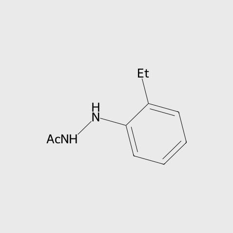 CCc1ccccc1NNC(C)=O